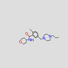 CCCN1CCN(Cc2ccc(C)c(C(=O)NC3CCOCC3)c2)CC1